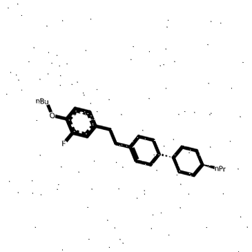 CCCCOc1ccc(CCC2=CCC([C@H]3CC[C@H](CCC)CC3)CC2)cc1F